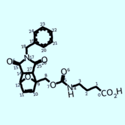 O=C(O)CCCNC(=O)OCC12C=CC(O1)C1C(=O)N(Cc3ccccc3)C(=O)C12